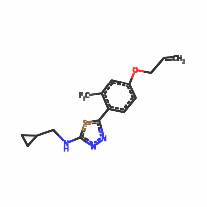 C=CCOc1ccc(-c2nnc(NCC3CC3)s2)c(C(F)(F)F)c1